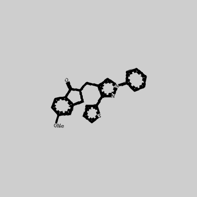 COc1ccc2c(c1)CC(Cc1cn(-c3ccccc3)nc1-c1cccs1)C2=O